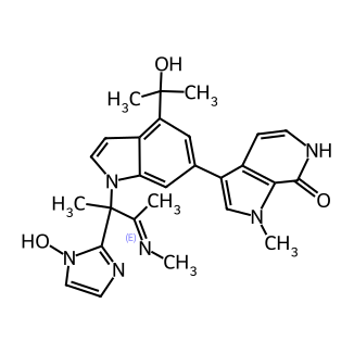 C/N=C(\C)C(C)(c1nccn1O)n1ccc2c(C(C)(C)O)cc(-c3cn(C)c4c(=O)[nH]ccc34)cc21